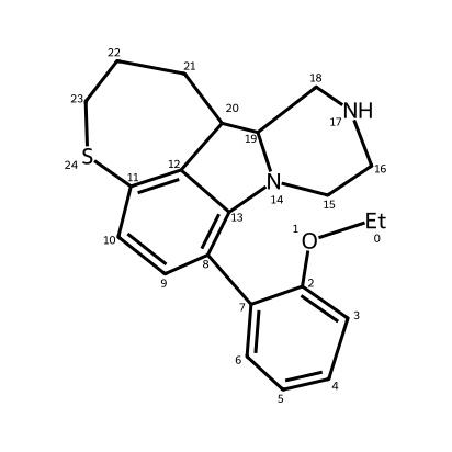 CCOc1ccccc1-c1ccc2c3c1N1CCNCC1C3CCCS2